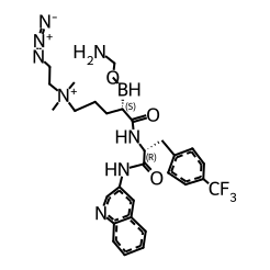 C[N+](C)(CCC[C@H](BOCN)C(=O)N[C@H](Cc1ccc(C(F)(F)F)cc1)C(=O)Nc1cnc2ccccc2c1)CCN=[N+]=[N-]